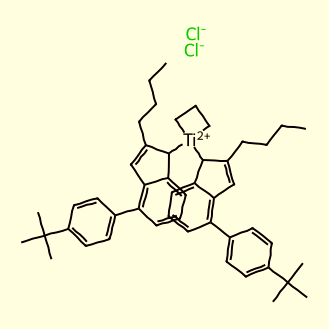 CCCCC1=Cc2c(-c3ccc(C(C)(C)C)cc3)cccc2[CH]1[Ti+2]1([CH]2C(CCCC)=Cc3c(-c4ccc(C(C)(C)C)cc4)cccc32)[CH2]C[CH2]1.[Cl-].[Cl-]